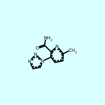 Cc1ccc(-n2ccnn2)c(C(N)=O)n1